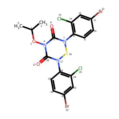 CC(C)ON1C(=O)N(c2ccc(Br)cc2Cl)SN(c2ccc(Br)cc2Cl)C1=O